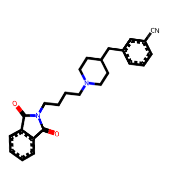 N#Cc1cccc(CC2CCN(CCCCN3C(=O)c4ccccc4C3=O)CC2)c1